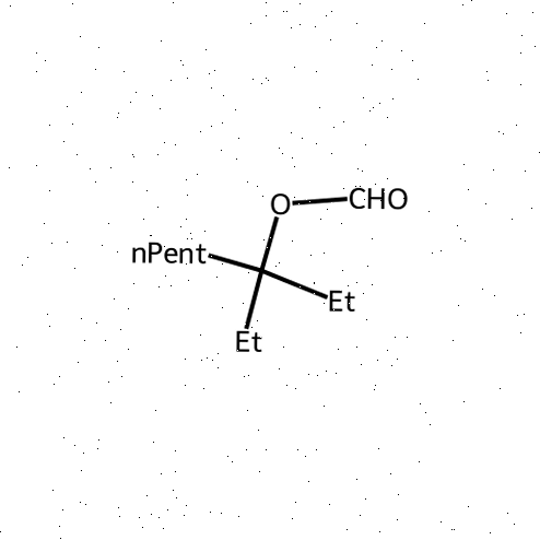 CCCCCC(CC)(CC)OC=O